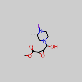 COC(=O)C1OC1C(O)N1CCN(I)[C@@H](C)C1